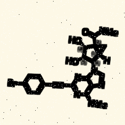 CNC(=O)[C@@]12C[C@@H]1[C@@H](n1cnc3c(NC)nc(C#Cc4ccc(Br)cc4)nc31)[C@H](O)[C@@H]2O